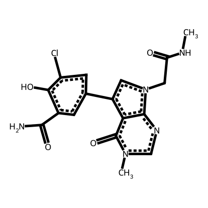 CNC(=O)Cn1cc(-c2cc(Cl)c(O)c(C(N)=O)c2)c2c(=O)n(C)cnc21